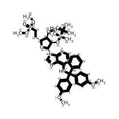 COc1ccc(C(Nc2ncnc3c2ncn3[C@@H]2O[C@H](CCP(=O)(OC)OC)[C@@H](OC)[C@H]2O[Si](C)(C)C(C)(C)C)(c2ccccc2)c2ccc(OC)cc2)cc1